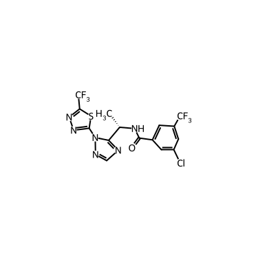 C[C@H](NC(=O)c1cc(Cl)cc(C(F)(F)F)c1)c1ncnn1-c1nnc(C(F)(F)F)s1